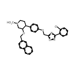 O=C(O)N1CCC(c2ccc(OCc3nc(-c4ccccc4Cl)no3)cc2)C(OCc2ccc3ccccc3c2)C1